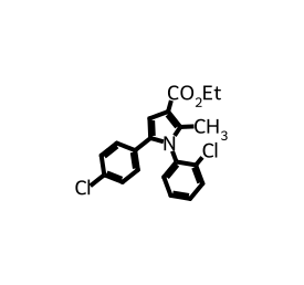 CCOC(=O)c1cc(-c2ccc(Cl)cc2)n(-c2ccccc2Cl)c1C